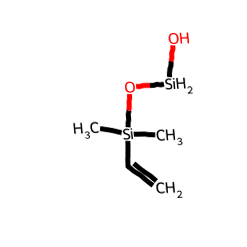 C=C[Si](C)(C)O[SiH2]O